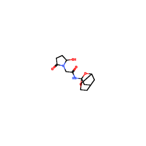 O=C(CN1C(=O)CCC1O)NC12CC3CC(CC(C3)O1)O2